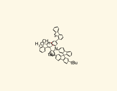 CC(C)(C)c1ccc2c(c1)C1(c3ccccc3-c3ccc(N(c4cccc(-c5cccc6c5sc5ccccc56)c4)c4ccccc4-c4cccc5c4-c4ccccc4C5(C)C)cc31)c1cc(C(C)(C)C)ccc1-2